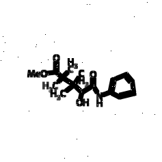 COC(=O)C(C)(C)C(C)(C)C(O)C(=O)Nc1ccccc1